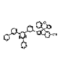 N#Cc1ccc2c(c1)C1(c3ccccc3Oc3ccccc31)c1cc(-c3cccc(-c4cc(-c5cccc(-c6ccccc6)c5)nc(-c5ccccc5)n4)c3)ccc1-2